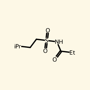 CCC(=O)NS(=O)(=O)CCC(C)C